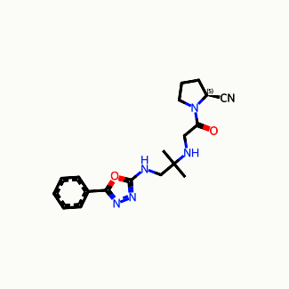 CC(C)(CNc1nnc(-c2ccccc2)o1)NCC(=O)N1CCC[C@H]1C#N